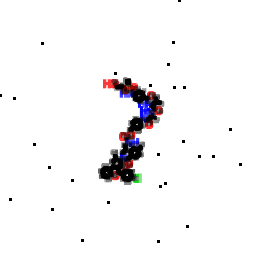 C#CP(=O)(Nc1ccc(C(=O)N[C@H](C(=O)N[C@@H](C)C(=O)Nc2ccc(COC(=O)NCCCN(C(=O)c3ccc(C)cc3)[C@@H](c3oc4cc(Cl)ccc4c(=O)c3Cc3ccccc3)C(C)C)cc2)C(C)C)cc1)OCCO